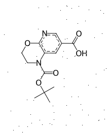 CC(C)(C)OC(=O)N1CCOc2ncc(C(=O)O)cc21